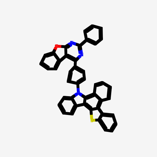 c1ccc(-c2nc(-c3ccc(-n4c5ccccc5c5c6sc7ccccc7c6c6ccccc6c54)cc3)c3c(n2)oc2ccccc23)cc1